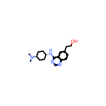 CN(C)[C@H]1CC[C@H](Nc2ncnc3ccc(CCO)cc23)CC1